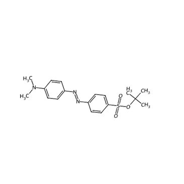 CN(C)c1ccc(N=Nc2ccc(S(=O)(=O)OC(C)(C)C)cc2)cc1